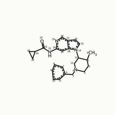 CC1CCN(Cc2ccccc2)CC1n1ccc2cnc(NC(=O)C3CC3)cc21